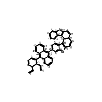 C=CC1C=CC=C(c2c3ccccc3c(-c3ccc4c(c3)sc3ccc5ccc6sc7ccccc7c6c5c34)c3ccccc23)C1C=C